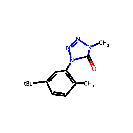 Cc1ccc(C(C)(C)C)cc1-n1nnn(C)c1=O